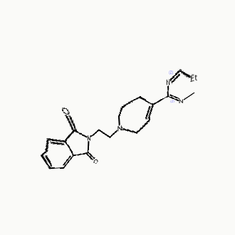 CC/C=N\C(=N/C)C1=CCN(CCN2C(=O)c3ccccc3C2=O)CC1